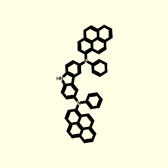 C1=CC(N(c2ccc3[nH]c4ccc(N(c5ccccc5)c5ccc6ccc7cccc8ccc5c6c78)cc4c3c2)c2ccc3c4c5c(ccc24)C=CCC5=CC3)=CCC1